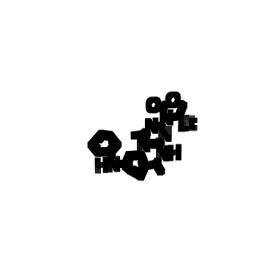 CC[C@H]1COC(=O)N1c1nc(C)nc(NC(C)c2ccc(Nc3ccccc3)cc2)n1